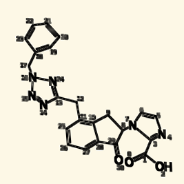 O=C(O)c1nccn1C1Cc2c(Cc3nnn(Cc4ccccc4)n3)cccc2C1=O